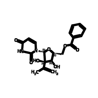 C=C(C)[C@@]1(O)[C@H](O)[C@@H](COC(=O)c2ccccc2)O[C@H]1n1ccc(=O)[nH]c1=O